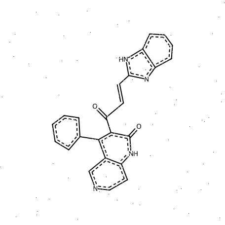 O=C(C=Cc1nc2ccccc2[nH]1)c1c(-c2ccccc2)c2cnccc2[nH]c1=O